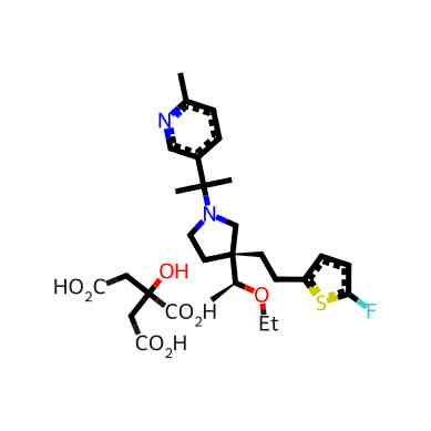 CCO[C@@H](C)[C@]1(CCc2ccc(F)s2)CCN(C(C)(C)c2ccc(C)nc2)C1.O=C(O)CC(O)(CC(=O)O)C(=O)O